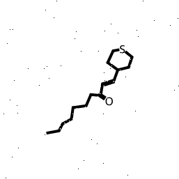 CCCCCCCC(=O)C=CC1CCSCC1